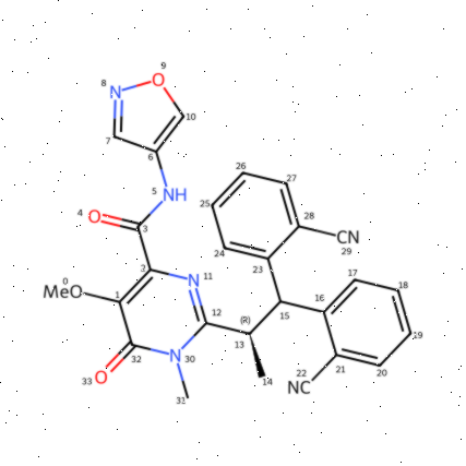 COc1c(C(=O)Nc2cnoc2)nc([C@H](C)C(c2ccccc2C#N)c2ccccc2C#N)n(C)c1=O